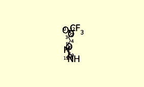 O=C(OCCCON=C1CNC1)C(F)(F)F